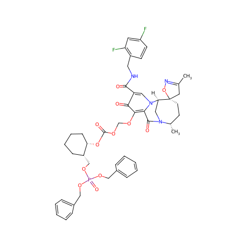 CC1=NO[C@@]2(CC[C@H](C)N3C[C@H]2n2cc(C(=O)NCc4ccc(F)cc4F)c(=O)c(OCOC(=O)O[C@H]4CCCC[C@H]4COP(=O)(OCc4ccccc4)OCc4ccccc4)c2C3=O)C1